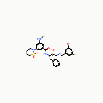 CCNc1cc(C(=O)N[C@@H](Cc2ccccc2)[C@H](O)CNCc2cc(F)cc(Br)c2)cc(N2CCCCS2(=O)=O)c1